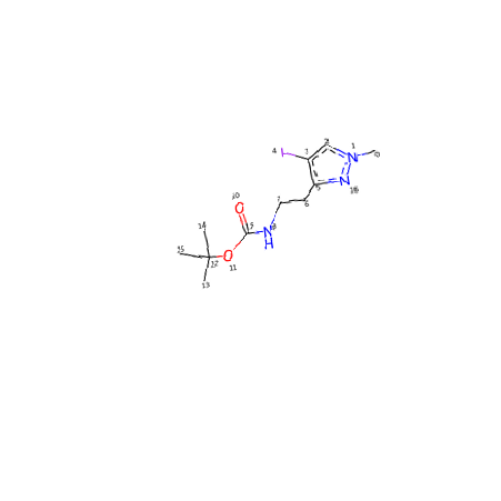 Cn1cc(I)c(CCNC(=O)OC(C)(C)C)n1